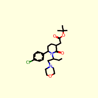 CCC(CN1CCOCC1)N1C(=O)C(CC(=O)OC(C)(C)C)CCC1c1ccc(Cl)cc1